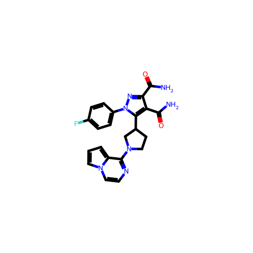 NC(=O)c1nn(-c2ccc(F)cc2)c(C2CCN(c3nccn4cccc34)C2)c1C(N)=O